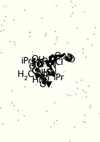 C=C[C@@H]1C[C@]1(NC(=O)[C@@H]1C[C@@H](Oc2cc(-c3nc(C(C)C)cs3)nc3c(Cl)c(OCCN4CCOCC4)ccc23)[C@H]2CO[C@H](C(C)C)C(=O)N21)C(=O)NS(=O)(=O)C1CC1